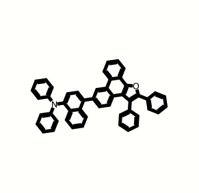 c1ccc(-c2oc3c4ccccc4c4cc(-c5ccc(N(c6ccccc6)c6ccccc6)c6ccccc56)ccc4c3c2-c2ccccc2)cc1